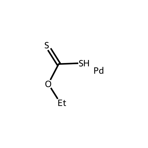 CCOC(=S)S.[Pd]